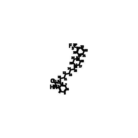 O=c1[nH]c2ccccc2n1CCCCCCN1CCN(c2cccc(C(F)(F)F)c2)CC1